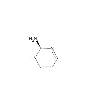 N[C@H]1N=CC=CN1